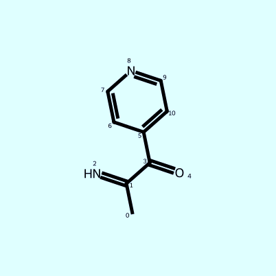 CC(=N)C(=O)c1ccncc1